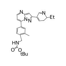 CCC1CC=C(c2cc3nccc(-c4ccc(CNC(=O)OC(C)(C)C)c(C)c4)n3n2)C=N1